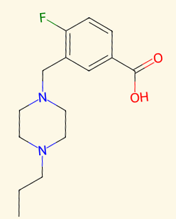 CCCN1CCN(Cc2cc(C(=O)O)ccc2F)CC1